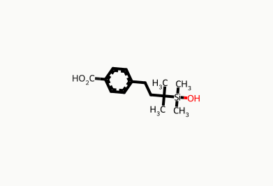 CC(C)(CCc1ccc(C(=O)O)cc1)[Si](C)(C)O